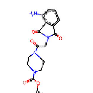 CC(C)(C)OC(=O)N1CCN(C(=O)CN2C(=O)c3cccc(N)c3C2=O)CC1